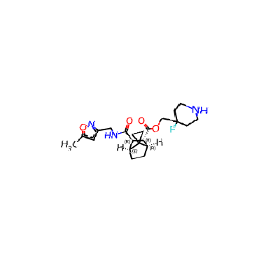 Cc1cc(CNC(=O)[C@H]2[C@H](C(=O)OCC3(F)CCNCC3)[C@H]3CC[C@@H]2C32CC2)no1